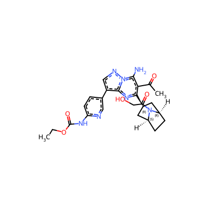 CCOC(=O)Nc1ccc(-c2cnn3c(N)c(C(C)=O)c([C@H]4C[C@H]5CC[C@@H](C4)N5C(=O)CO)nc23)cn1